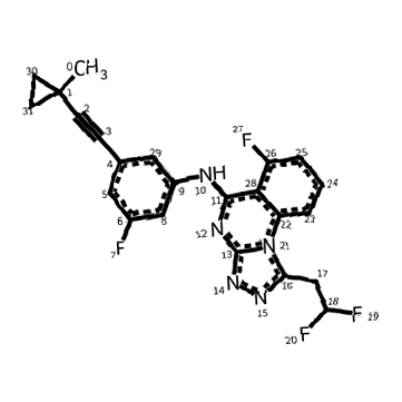 CC1(C#Cc2cc(F)cc(Nc3nc4nnc(CC(F)F)n4c4cccc(F)c34)c2)CC1